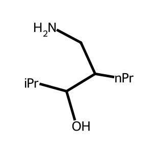 CCCC(CN)C(O)C(C)C